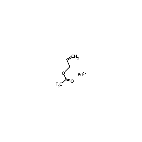 C=CCOC(=O)C(F)(F)F.[Pd+2]